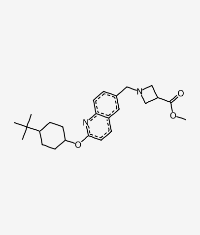 COC(=O)C1CN(Cc2ccc3nc(OC4CCC(C(C)(C)C)CC4)ccc3c2)C1